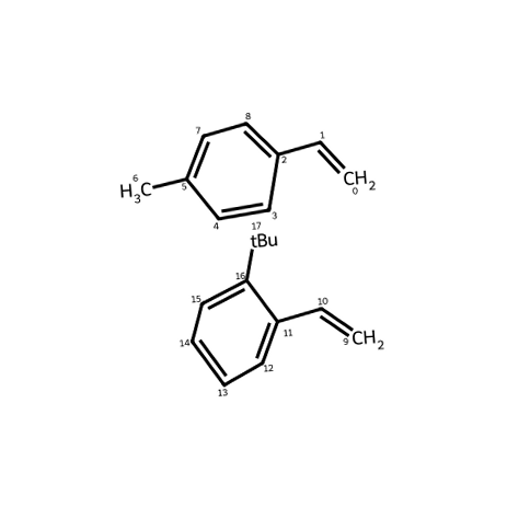 C=Cc1ccc(C)cc1.C=Cc1ccccc1C(C)(C)C